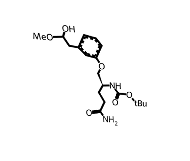 COC(O)Cc1cccc(OC[C@H](CCC(N)=O)NC(=O)OC(C)(C)C)c1